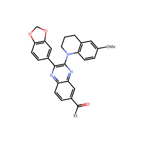 CCC(=O)c1ccc2nc(-c3ccc4c(c3)OCO4)c(N3CCCc4cc(OC)ccc43)nc2c1